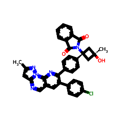 Cc1cc2ncc3cc(-c4ccc(Cl)cc4)c(-c4ccc([C@]5(N6C(=O)c7ccccc7C6=O)C[C@](C)(O)C5)cc4)nc3n2n1